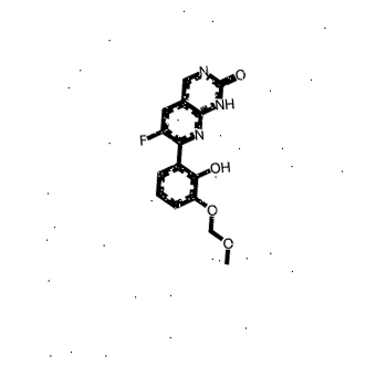 COCOc1cccc(-c2nc3[nH]c(=O)ncc3cc2F)c1O